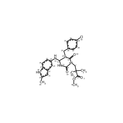 COC(=O)C(C)(C)CN1C(=O)NC(Nc2ccc3[nH]c(C)cc3c2)N(Cc2ccc(Cl)cc2)C1=O